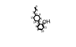 C=CCC1CCC(c2ccccc2O)CC1